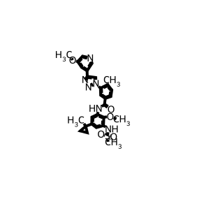 COc1cncc(-c2cn(-c3cc(C(=O)Nc4cc(C5(C)CC5)cc(NS(C)(=O)=O)c4OC)ccc3C)nn2)c1